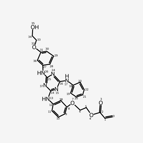 C=CC(=O)OCCOc1cccc(Nc2nc(Nc3ccccc3)nc(Nc3cccc(OCCO)c3)n2)c1